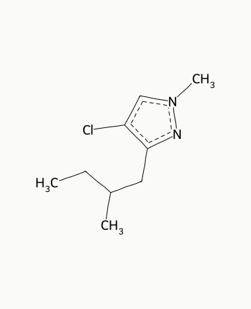 CCC(C)Cc1nn(C)cc1Cl